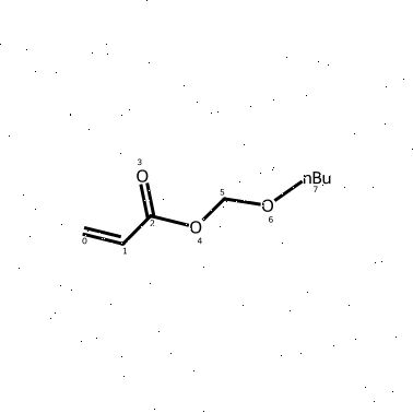 C=CC(=O)OCOCCCC